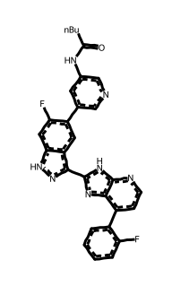 CCCCC(=O)Nc1cncc(-c2cc3c(-c4nc5c(-c6ccccc6F)ccnc5[nH]4)n[nH]c3cc2F)c1